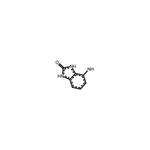 [NH]c1cccc2[nH]c(=O)[nH]c12